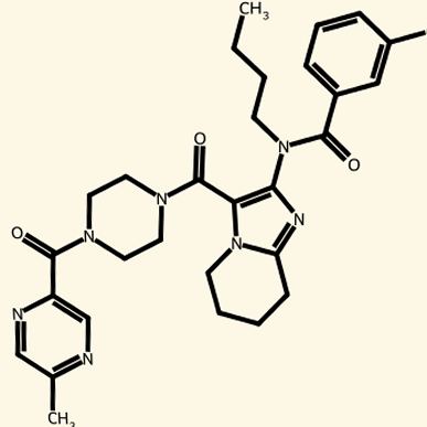 CCCCN(C(=O)c1cccc(Cl)c1)c1nc2n(c1C(=O)N1CCN(C(=O)c3cnc(C)cn3)CC1)CCCC2